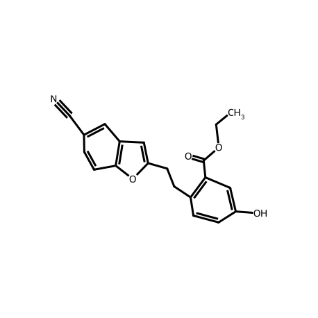 CCOC(=O)c1cc(O)ccc1CCc1cc2cc(C#N)ccc2o1